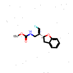 CC(C)(C)OC(=O)NC/C(=C\F)[C@H]1Cc2ccccc2O1